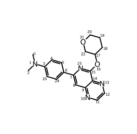 CN(C)c1ccc(-c2cc3nccnc3c(OC3CCCOC3)n2)cc1